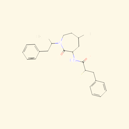 CC1CCN(C(Cc2ccccc2)C(=O)O)C(=O)C(NC(=O)C(S)Cc2ccccc2)C1